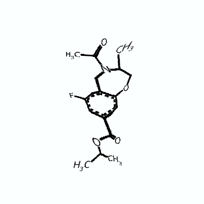 CC(=O)N1Cc2c(F)cc(C(=O)OC(C)C)cc2OCC1C